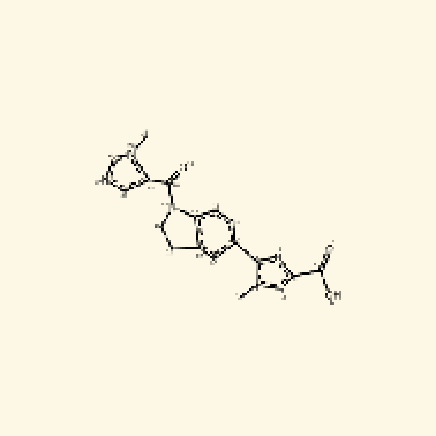 Cc1sc(C(=O)O)nc1-c1ccc2c(c1)CCN2C(=O)c1cncn1C